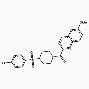 COc1ccc2nc(C(=O)N3CCC(S(=O)(=O)c4ccc(Cl)cc4)CC3)ccc2c1